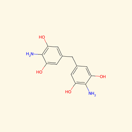 Nc1c(O)cc(Cc2cc(O)c(N)c(O)c2)cc1O